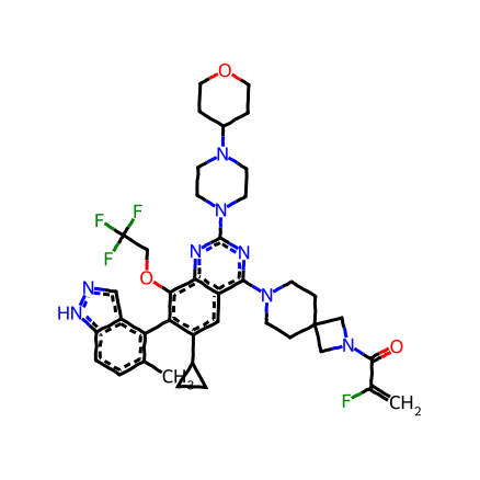 C=C(F)C(=O)N1CC2(CCN(c3nc(N4CCN(C5CCOCC5)CC4)nc4c(OCC(F)(F)F)c(-c5c(C)ccc6[nH]ncc56)c(C5CC5)cc34)CC2)C1